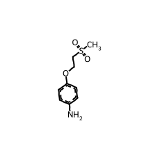 CS(=O)(=O)CCOc1ccc(N)cc1